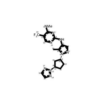 CNc1nc(Nc2cnn([C@@H]3CC[C@@H](n4nccn4)C3)c2C)ncc1C(F)(F)F